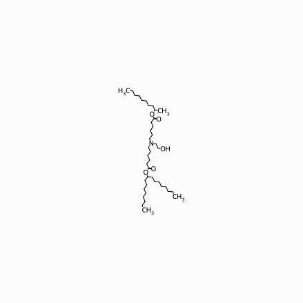 CCCCCCCCC(C)OC(=O)CCCCCN(CCO)CCCCCC(=O)OC(CCCCCCCC)CCCCCCCC